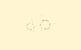 Cc1cc(CO)cc(F)c1-c1nc(C(F)(F)F)cn1C